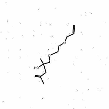 C=CCOCCOCC(C)(O)CC(=C)C